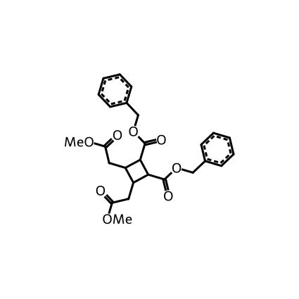 COC(=O)CC1C(CC(=O)OC)C(C(=O)OCc2ccccc2)C1C(=O)OCc1ccccc1